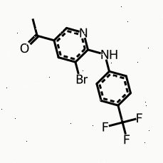 CC(=O)c1cnc(Nc2ccc(C(F)(F)F)cc2)c(Br)c1